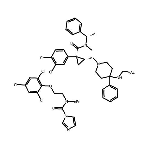 CC(=O)CNC1(c2ccccc2)CCN(C[C@@H]2C[C@@]2(C(=O)N(C)[C@@H](C)c2ccccc2)c2ccc(Cl)c(Cl)c2)CC1.CCCN(CCOc1c(Cl)cc(Cl)cc1Cl)C(=O)n1ccnc1